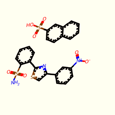 NS(=O)(=O)c1ccccc1-c1nc(-c2cccc([N+](=O)[O-])c2)cs1.O=S(=O)(O)c1ccc2ccccc2c1